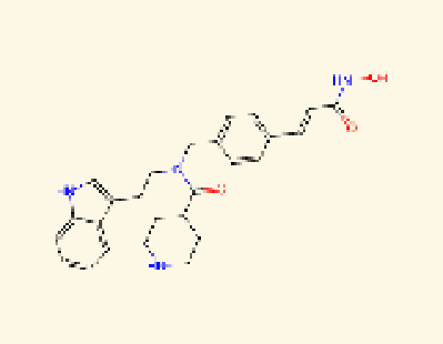 O=C(/C=C/c1ccc(CN(CCc2c[nH]c3ccccc23)C(=O)C2CCNCC2)cc1)NO